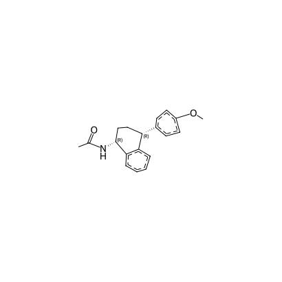 COc1ccc([C@H]2CC[C@@H](NC(C)=O)c3ccccc32)cc1